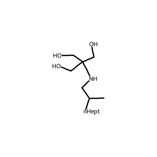 CCCCCCCC(C)CNC(CO)(CO)CO